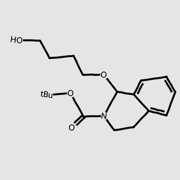 CC(C)(C)OC(=O)N1CCc2ccccc2C1OCCCCO